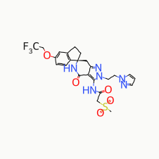 CS(=O)(=O)CC(=O)Nc1c2c(nn1CCn1cccn1)C[C@@]1(CCc3cc(OCC(F)(F)F)ccc31)NC2=O